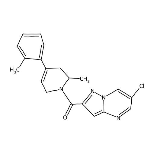 Cc1ccccc1C1=CCN(C(=O)c2cc3ncc(Cl)cn3n2)C(C)C1